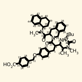 CC(C(N)C(Cc1ccc(OCc2ccc(C(=O)O)cc2)cc1)C(=O)N1Cc2ccccc2CC1C(=O)N(C)[C@@H]1CCCc2ccccc21)N(C)C(=O)OC(C)(C)C